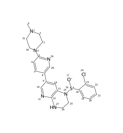 CN1CCN(c2ccc(-c3cnc4c(c3)N([S+]([O-])c3ccccc3Cl)CCN4)cn2)CC1